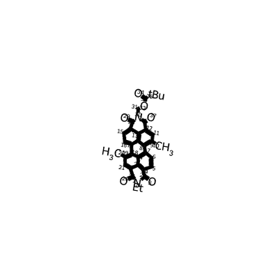 CCN1C(=O)c2ccc3c4c(C)cc5c6c(ccc(c7c(C)cc(c2c37)C1=O)c64)C(=O)N(COC(=O)C(C)(C)C)C5=O